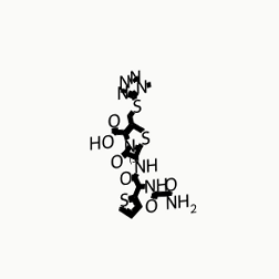 Cn1nnnc1SCC1=C(C(=O)O)N2C(=O)[C@H](NC(=O)C(NC(=O)C(N)=O)c3cccs3)C2SC1